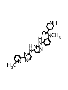 Cc1cccc(-c2nccc(Nc3ccnc(Nc4cccc(N(C)C(=O)C5CCNCC5)c4)n3)n2)n1